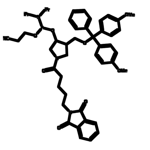 COc1ccc(C(OCC2CN(C(=O)CCCCN3C(=O)c4ccccc4C3=O)CC2OP(OCCC#N)N(C(C)C)C(C)C)(c2ccccc2)c2ccc(OC)cc2)cc1